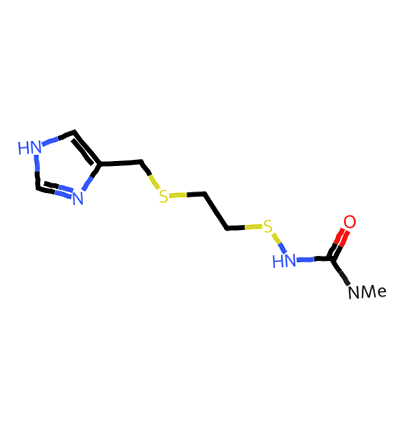 CNC(=O)NSCCSCc1c[nH]cn1